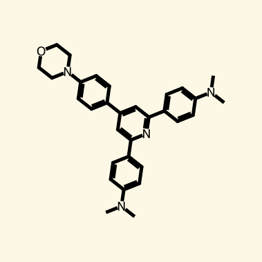 CN(C)c1ccc(-c2cc(-c3ccc(N4CCOCC4)cc3)cc(-c3ccc(N(C)C)cc3)n2)cc1